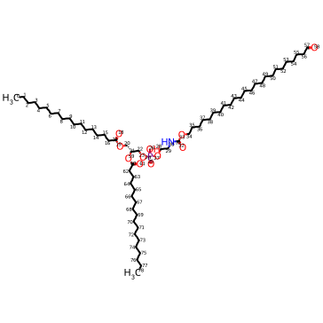 CCCCCCCCCCCCCCCCCC(=O)OC[C@H](COP(=O)(O)OCCNC(=O)OCCCCCCCCCCCCCCCCCCCCCCCC=O)OC(=O)CCCCCCCCCCCCCCCCC